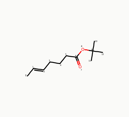 [CH2]/C=C/CCCC(=O)OC(C)(C)C